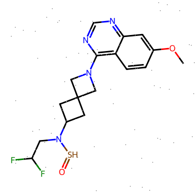 COc1ccc2c(N3CC4(CC(N(CC(F)F)[SH]=O)C4)C3)ncnc2c1